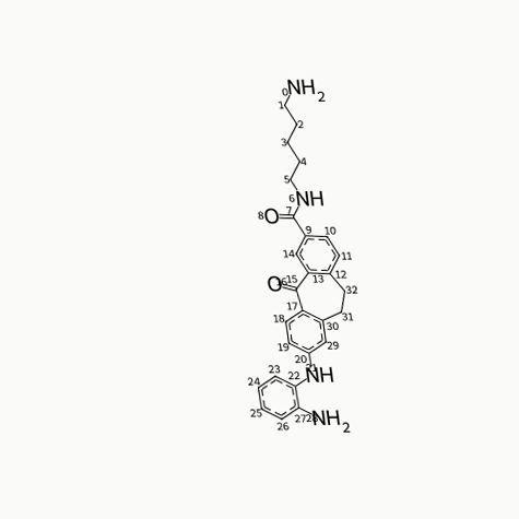 NCCCCCNC(=O)c1ccc2c(c1)C(=O)c1ccc(Nc3ccccc3N)cc1CC2